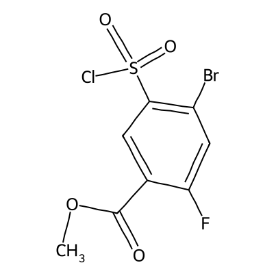 COC(=O)c1cc(S(=O)(=O)Cl)c(Br)cc1F